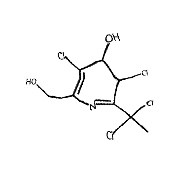 CC(Cl)(Cl)C1=NC(CO)=C(Cl)C(O)C1Cl